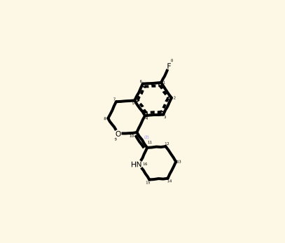 Fc1ccc2c(c1)CCO/C2=C1/CCCCN1